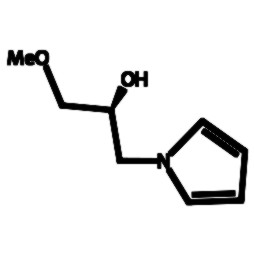 COC[C@@H](O)Cn1cccc1